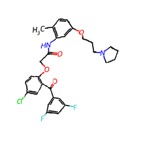 Cc1ccc(OCCCN2CCCC2)cc1NC(=O)COc1ccc(Cl)cc1C(=O)c1cc(F)cc(F)c1